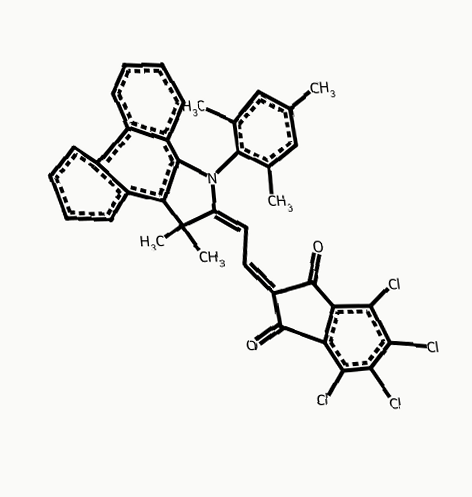 Cc1cc(C)c(N2/C(=C/C=C3C(=O)c4c(Cl)c(Cl)c(Cl)c(Cl)c4C3=O)C(C)(C)c3c2c2ccccc2c2ccccc32)c(C)c1